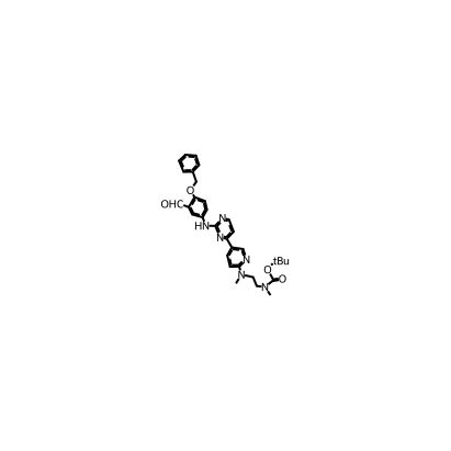 CN(CCN(C)c1ccc(-c2ccnc(Nc3ccc(OCc4ccccc4)c(C=O)c3)n2)cn1)C(=O)OC(C)(C)C